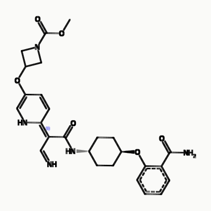 COC(=O)N1CC(OC2=CN/C(=C(\C=N)C(=O)N[C@H]3CC[C@H](Oc4ccccc4C(N)=O)CC3)C=C2)C1